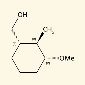 CO[C@@H]1CCC[C@H](CO)[C@H]1C